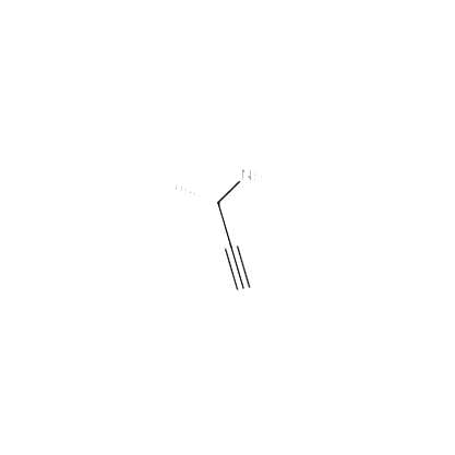 C#C[C@H](C)N